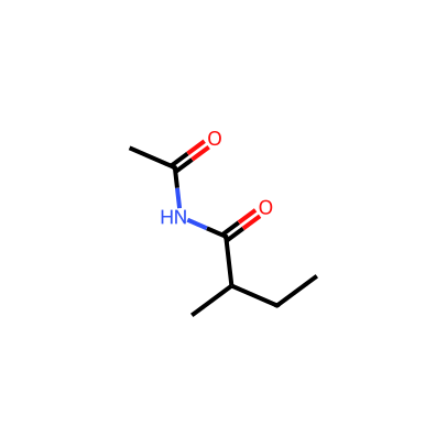 CCC(C)C(=O)NC(C)=O